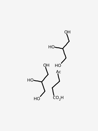 CC(=O)CCC(=O)O.OCC(O)CO.OCC(O)CO